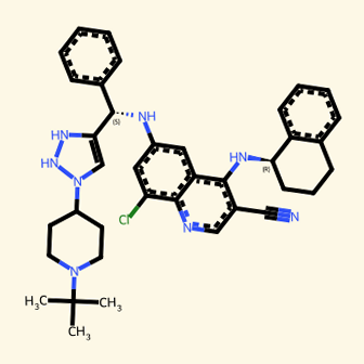 CC(C)(C)N1CCC(N2C=C([C@@H](Nc3cc(Cl)c4ncc(C#N)c(N[C@@H]5CCCc6ccccc65)c4c3)c3ccccc3)NN2)CC1